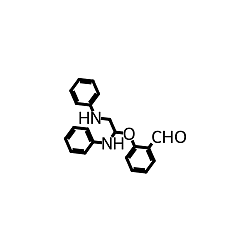 O=Cc1ccccc1OC(CNc1ccccc1)Nc1ccccc1